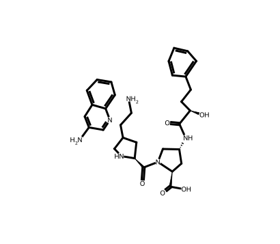 NCCC1CN[C@H](C(=O)N2C[C@H](NC(=O)[C@H](O)CCc3ccccc3)C[C@H]2C(=O)O)C1.Nc1cnc2ccccc2c1